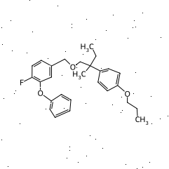 CCCOc1ccc(C(C)(CC)COCc2ccc(F)c(Oc3ccccc3)c2)cc1